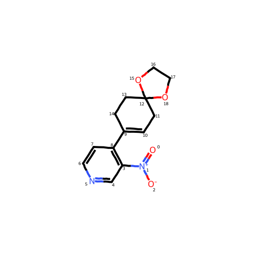 O=[N+]([O-])c1cnccc1C1=CCC2(CC1)OCCO2